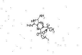 CS(=O)(=O)c1nc2c(nc1S(C)(=O)=O)C(N)NC2=N